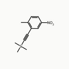 Cc1ccc([N+](=O)[O-])cc1C#C[Si](C)(C)C